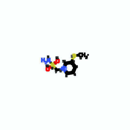 [CH2]Sc1ccc[n+](CS(N)(=O)=O)c1